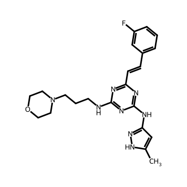 Cc1cc(Nc2nc(/C=C/c3cccc(F)c3)nc(NCCCN3CCOCC3)n2)n[nH]1